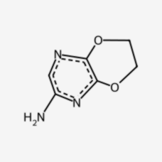 Nc1cnc2c(n1)OCCO2